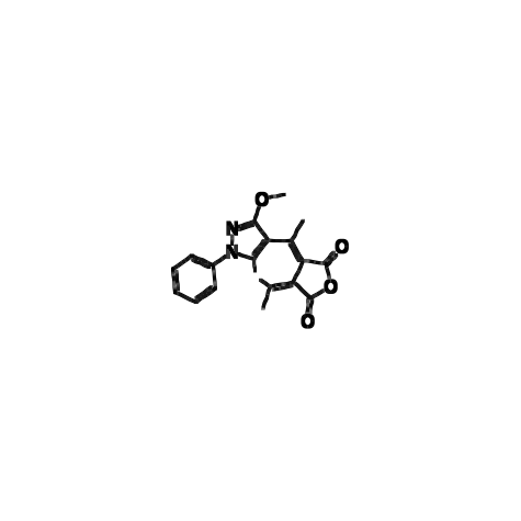 COc1nn(-c2ccccc2)c(C)c1/C(C)=C1/C(=O)OC(=O)C1=C(C)C